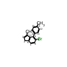 CC1=CCc2ccc(Br)c(-c3ccc(C)cc3)c21